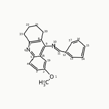 COc1ccc2nc3c(c(/N=C/c4ccccc4)c2c1)CCCC3